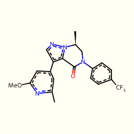 COc1cc(-c2cnn3c2C(=O)N(c2ccc(C(F)(F)F)cc2)C[C@@H]3C)cc(C)n1